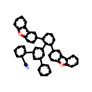 N#Cc1ccccc1-c1cc(-c2ccccc2)cc(-c2c(-c3ccc4oc5ccccc5c4c3)cccc2-c2ccc3oc4ccccc4c3c2)c1